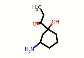 CCC(=O)C1(O)CCCC(N)C1